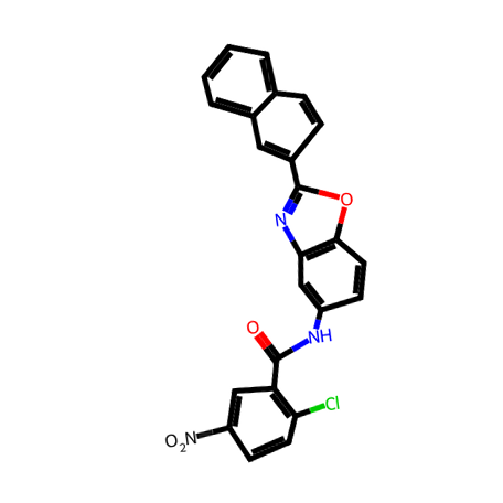 O=C(Nc1ccc2oc(-c3ccc4ccccc4c3)nc2c1)c1cc([N+](=O)[O-])ccc1Cl